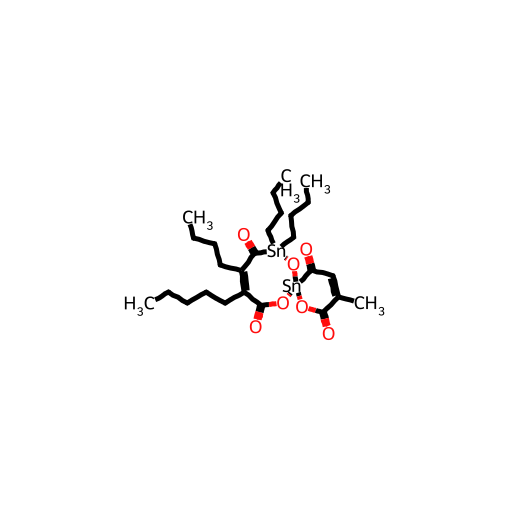 CCCCC/C1=C(\CCCC)[C](=O)[Sn]([CH2]CCC)([CH2]CCC)[O][Sn]2([O]C(=O)C(C)=C[C]2=O)[O]C1=O